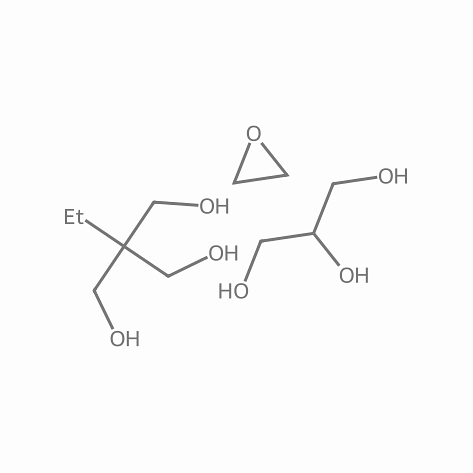 C1CO1.CCC(CO)(CO)CO.OCC(O)CO